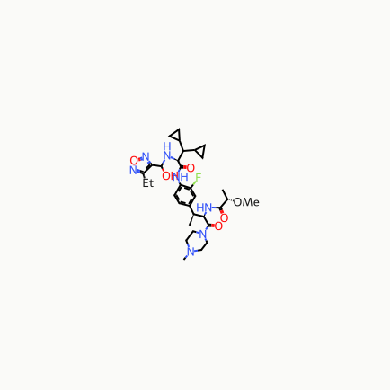 CCc1nonc1C(O)N[C@H](C(=O)Nc1ccc([C@H](C)[C@@H](NC(=O)[C@H](C)OC)C(=O)N2CCN(C)CC2)cc1F)C(C1CC1)C1CC1